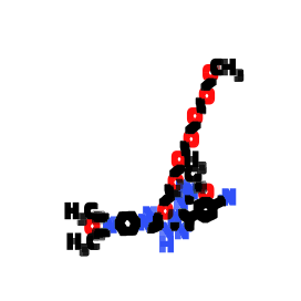 CC[C@H](Oc1cc(-c2cnc(Nc3cn(C4CCC(N5C[C@@H](C)O[C@@H](C)C5)CC4)nc3OCCCOCCOCCOCCOCCOCCOC)nc2)ccc1C#N)n1cncn1